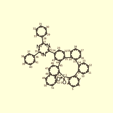 O=S1(=O)c2ccccc2-c2ccccc2-c2ccccc2-c2ccc(-c3nc(-c4ccccc4)nc(-c4ccccc4)n3)cc2-c2ccc3ccccc3c21